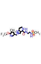 Cc1cc(Cn2cc3c(C(=O)NCCNS(C)(=O)=O)nccc3n2)cnc1OCC(F)(F)F